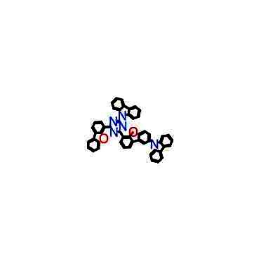 c1ccc2c(c1)oc1c(-c3nc(-c4cccc5c4oc4ccc(-n6c7ccccc7c7ccccc76)cc45)nc(-n4c5ccccc5c5ccccc54)n3)cccc12